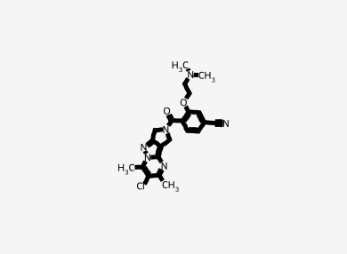 Cc1nc2c3c(nn2c(C)c1Cl)CN(C(=O)c1ccc(C#N)cc1OCCN(C)C)C3